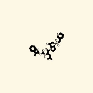 Cc1c(OC(=O)NC(CC(C)C)C(=O)N2CCC3C2C(=O)CN3S(=O)(=O)Cc2cccnc2)oc2ccccc12